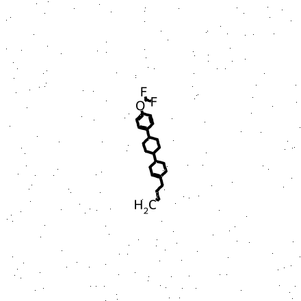 C=CCCC1=CCC(C2CCC(c3ccc(OC(F)F)cc3)CC2)CC1